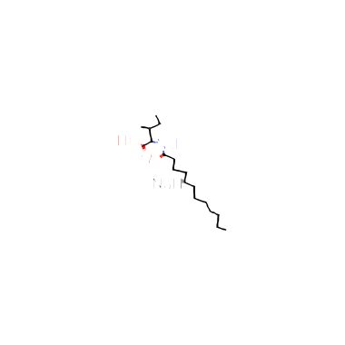 CCCCCCCCCCCC(=O)NC(C(=O)O)C(C)CC.[NaH]